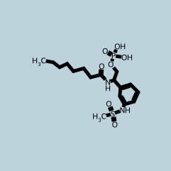 CCCCCCCC(=O)NC(COP(=O)(O)O)c1cccc(NS(C)(=O)=O)c1